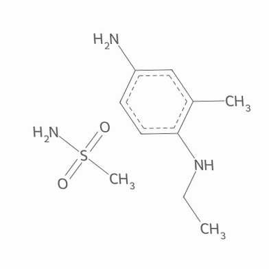 CCNc1ccc(N)cc1C.CS(N)(=O)=O